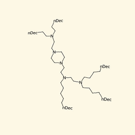 CCCCCCCCCCCCCCCN(CCN(CCCCCCCCCCCCCC)CCCCCCCCCCCCCC)CCN1CCN(CCN(CCCCCCCCCCCC)CCCCCCCCCCCC)CC1